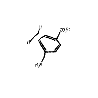 CCOC(=O)c1ccc(N)cc1.ClCCl